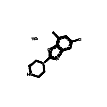 Cc1cc(Cl)cc2nc(N3CCNCC3)oc12.Cl